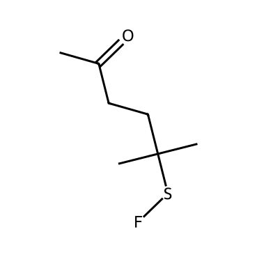 CC(=O)CCC(C)(C)SF